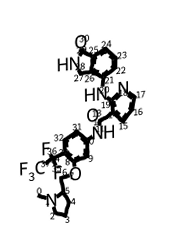 CN1CCCC1COc1cc(NC(=O)c2cccnc2Nc2cccc3c2CNC3=O)ccc1C(F)(F)C(F)(F)F